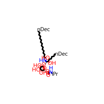 CCCCCCCCCCCCCCCCCCCCCCCCCCN[C@@H](CO[C@H]1O[C@H](COC(=O)NC(C)C)[C@H](O)[C@H](O)[C@H]1O)[C@H](O)[C@H](O)CCCCCCCCCCCCCC